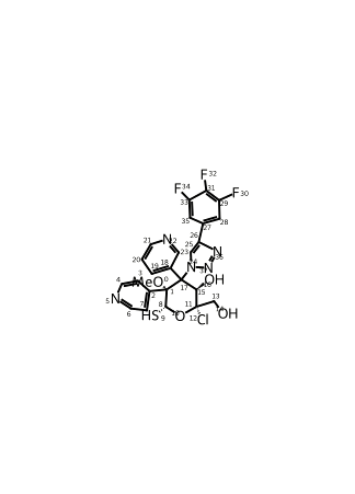 CO[C@@]1(c2ccncc2)[C@@H](S)O[C@](Cl)(CO)[C@H](O)C1(c1cccnc1)n1cc(-c2cc(F)c(F)c(F)c2)nn1